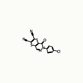 N#CC1=C(C#N)Sc2c(cnn(-c3ccc(Cl)cc3)c2=O)S1